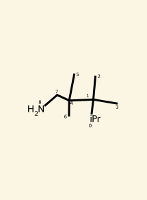 CC(C)C(C)(C)C(C)(C)CN